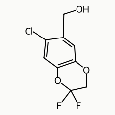 OCc1cc2c(cc1Cl)OC(F)(F)CO2